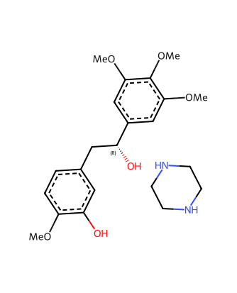 C1CNCCN1.COc1ccc(C[C@@H](O)c2cc(OC)c(OC)c(OC)c2)cc1O